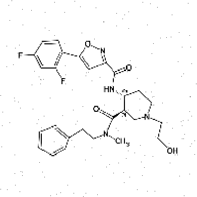 CN(CCc1ccccc1)C(=O)[C@@H]1CN(CCO)CC[C@H]1NC(=O)c1cc(-c2ccc(F)cc2F)on1